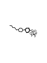 CCCCCC1CCC(c2ccc(OS(=O)(=O)C(F)(F)F)cc2)CC1